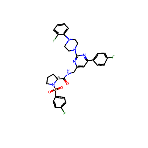 O=C(NCc1cc(-c2ccc(F)cc2)nc(N2CCN(c3ccccc3F)CC2)n1)[C@@H]1CCCN1S(=O)(=O)c1ccc(F)cc1